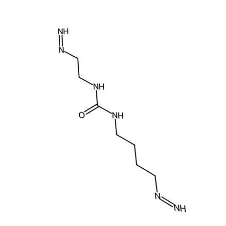 N=NCCCCNC(=O)NCCN=N